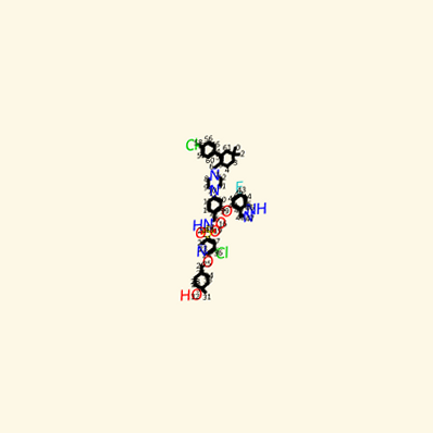 CC1(C)CCC(CN2CCN(c3ccc(C(=O)NS(=O)(=O)c4cnc(OCC5CCC(C)(O)CC5)c(Cl)c4)c(Oc4cc(F)cc5[nH]ncc45)c3)CC2)=C(c2ccc(Cl)cc2)C1